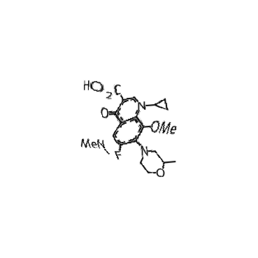 CNC.COc1c(N2CCOC(C)C2)c(F)cc2c(=O)c(C(=O)O)cn(C3CC3)c12